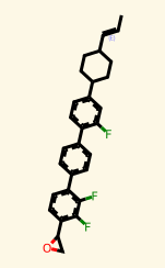 C/C=C/C1CCC(c2ccc(-c3ccc(-c4ccc(C5CO5)c(F)c4F)cc3)c(F)c2)CC1